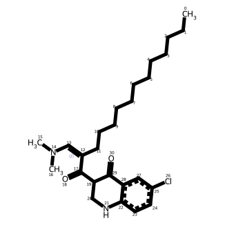 CCCCCCCCCCCC/C(=C/N(C)C)C(=O)C1CNc2ccc(Cl)cc2C1=O